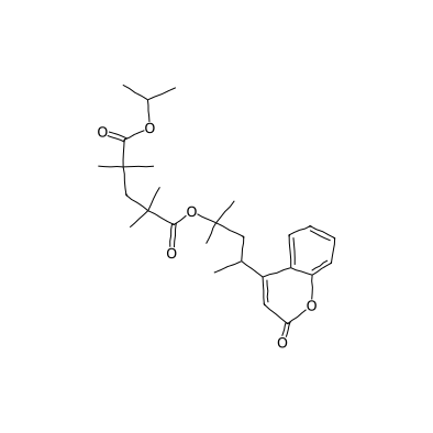 CC(C)OC(=O)C(C)(C)CC(C)(C)C(=O)OC(C)(C)CC(C)c1cc(=O)oc2ccccc12